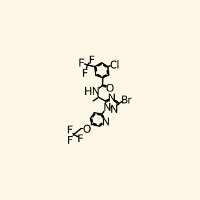 CC(NC(=O)c1cc(Cl)cc(C(F)(F)F)c1)c1nc(Br)nn1-c1ccc(OCC(F)(F)F)cn1